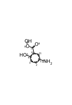 Nc1ccc(O)c(C(=O)OO)c1